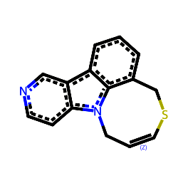 C1=C\SCc2cccc3c4cnccc4n(c23)C/1